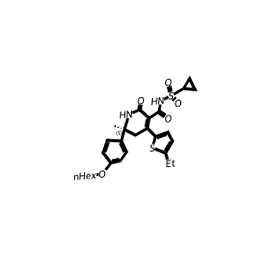 CCCCCCOc1ccc([C@]2(C)CC(c3ccc(CC)s3)=C(C(=O)NS(=O)(=O)C3CC3)C(=O)N2)cc1